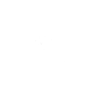 Cc1cccc2c1C=C(C1=CC=C1)S2(OS(=O)(=O)C(F)(F)F)C(F)(F)F